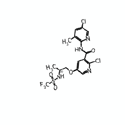 Cc1cc(Cl)cnc1NC(=O)c1cc(OC[C@H](C)NS(=O)(=O)C(F)(F)F)cnc1Cl